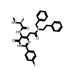 CN[C@@H](C)C(=O)Nc1c(CC(=O)N(CCc2ccccc2)Cc2ccccc2)nc(-c2ccc(F)cc2)[nH]c1=O